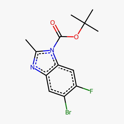 Cc1nc2cc(Br)c(F)cc2n1C(=O)OC(C)(C)C